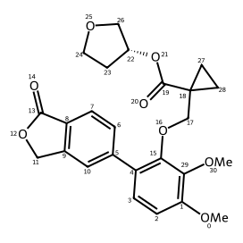 COc1ccc(-c2ccc3c(c2)COC3=O)c(OCC2(C(=O)O[C@@H]3CCOC3)CC2)c1OC